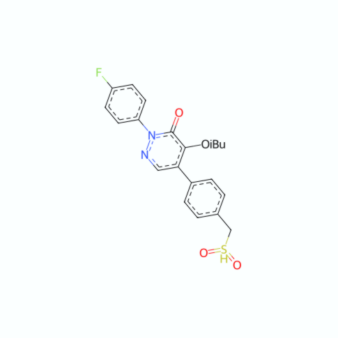 CC(C)COc1c(-c2ccc(C[SH](=O)=O)cc2)cnn(-c2ccc(F)cc2)c1=O